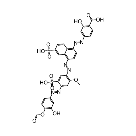 COc1cc(N=Nc2ccc(OC=O)c(O)c2)c(S(=O)(=O)O)cc1N=Nc1ccc(N=Nc2ccc(C(=O)O)c(O)c2)c2ccc(S(=O)(=O)O)cc12